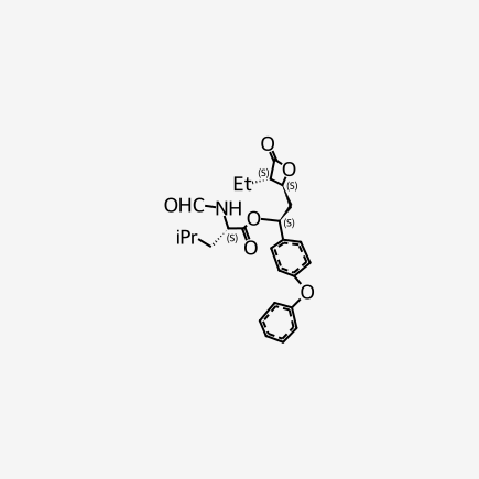 CC[C@@H]1C(=O)O[C@H]1C[C@H](OC(=O)[C@H](CC(C)C)NC=O)c1ccc(Oc2ccccc2)cc1